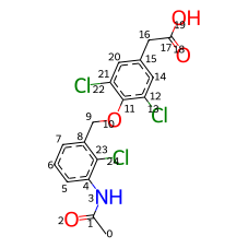 CC(=O)Nc1cccc(COc2c(Cl)cc(CC(=O)O)cc2Cl)c1Cl